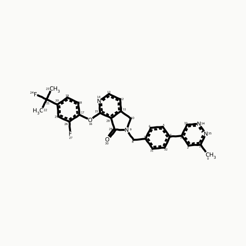 Cc1cc(-c2ccc(CN3Cc4ccnc(Oc5ccc(C(C)(C)F)cc5F)c4C3=O)cc2)cnn1